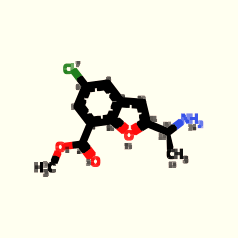 COC(=O)c1cc(Cl)cc2cc([C@H](C)N)oc12